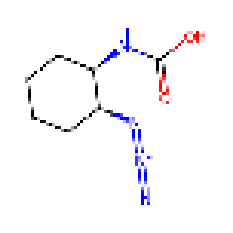 [N-]=[N+]=N[C@H]1CCCC[C@H]1NC(=O)O